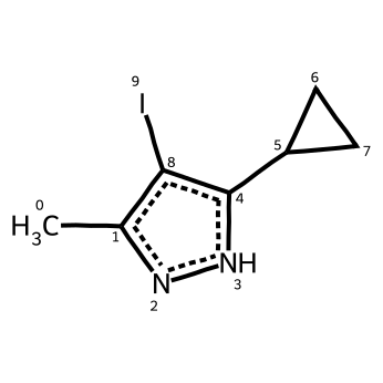 Cc1n[nH]c(C2CC2)c1I